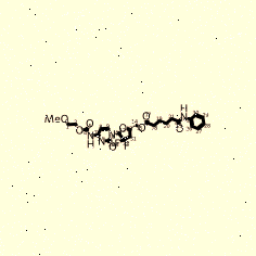 COCCOC(=O)Nc1ccn([C@@H]2O[C@H](COC(=O)CCCCC(=O)Nc3ccccc3)CC2(F)F)c(=O)n1